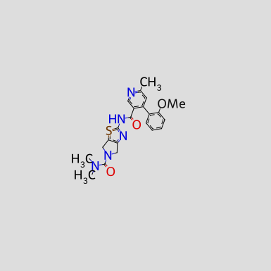 COc1ccccc1-c1cc(C)ncc1C(=O)Nc1nc2c(s1)CN(C(=O)N(C)C)C2